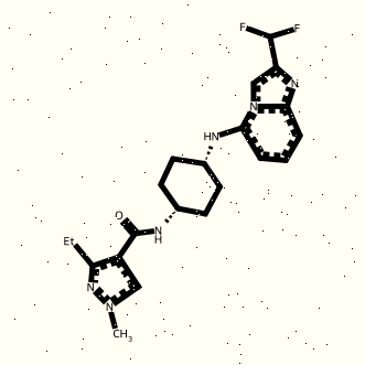 CCc1nn(C)cc1C(=O)N[C@H]1CC[C@@H](Nc2cccc3nc(C(F)F)cn23)CC1